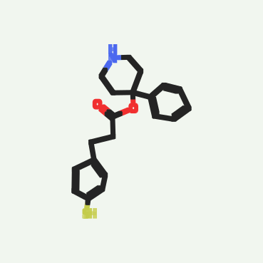 O=C(CCc1ccc(S)cc1)OC1(c2ccccc2)CCNCC1